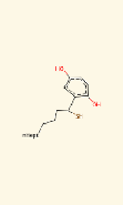 CCCCCCCCCCC(S)c1cc(O)ccc1O